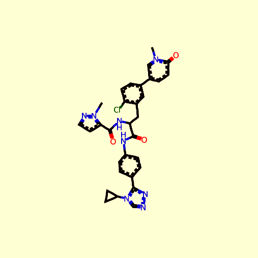 Cn1nccc1C(=O)NC(Cc1cc(-c2ccc(=O)n(C)c2)ccc1Cl)C(=O)Nc1ccc(-c2nncn2C2CC2)cc1